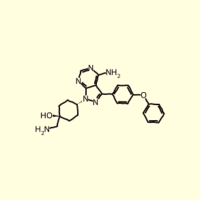 NC[C@]1(O)CC[C@H](n2nc(-c3ccc(Oc4ccccc4)cc3)c3c(N)ncnc32)CC1